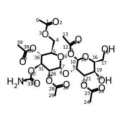 CC(=O)OC[C@H]1O[C@H](O[C@@H]2[C@@H](OC(C)=O)O[C@@H](CO)[C@@H](O)[C@@H]2OC(C)=O)[C@@H](OC(C)=O)[C@@H](OC(N)=O)[C@@H]1OC(C)=O